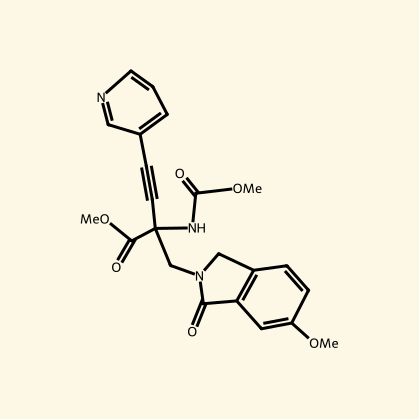 COC(=O)NC(C#Cc1cccnc1)(CN1Cc2ccc(OC)cc2C1=O)C(=O)OC